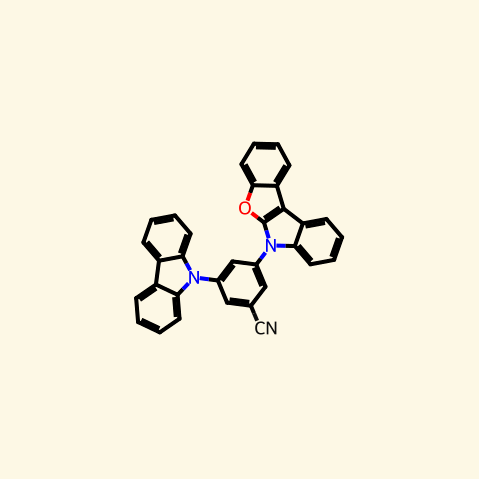 N#Cc1cc(-n2c3ccccc3c3ccccc32)cc(-n2c3ccccc3c3c4ccccc4oc32)c1